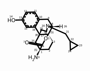 N[C@]12CC[C@@]3(OC1=O)[C@H]1Cc4ccc(O)cc4[C@@]3(CCN1CC1CC1)C2